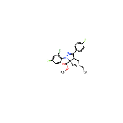 CCCCC1C(c2ccc(F)cc2)=NN(c2ccc(F)cc2Cl)C1(C)C(=O)OC